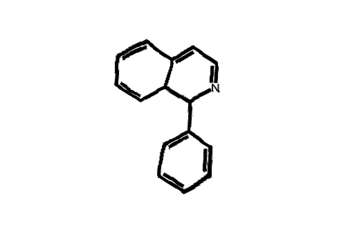 C1=CC2=CC=NC(c3ccccc3)C2C=C1